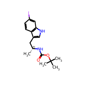 C[C@H](Cc1c[nH]c2cc(I)ccc12)NC(=O)OC(C)(C)C